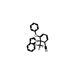 N#CC1C=CC=C(Oc2ccccc2)C1(n1ccc2ccccc21)C(F)(F)F